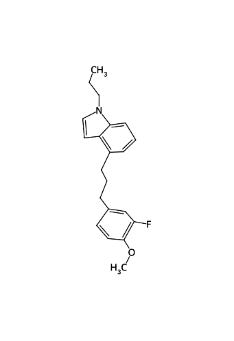 CCCn1ccc2c(CCCc3ccc(OC)c(F)c3)cccc21